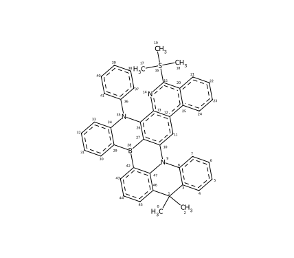 CC1(C)c2ccccc2N2c3cc4c(nc(S(C)(C)C)c5ccccc54)c4c3B(c3ccccc3N4c3ccccc3)c3cccc1c32